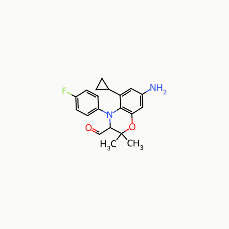 CC1(C)Oc2cc(N)cc(C3CC3)c2N(c2ccc(F)cc2)C1C=O